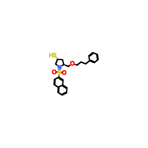 O=S(=O)(c1ccc2ccccc2c1)N1C[C@H](S)C[C@H]1COCCCc1ccccc1